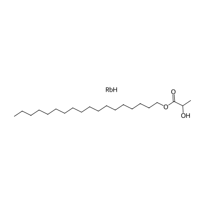 CCCCCCCCCCCCCCCCCCOC(=O)C(C)O.[RbH]